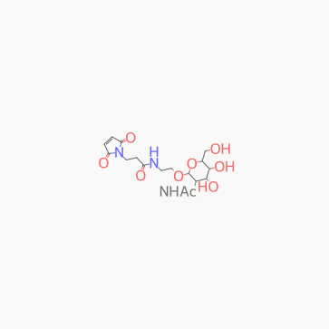 CC(=O)NC1C(OCCNC(=O)CCN2C(=O)C=CC2=O)OC(CO)C(O)C1O